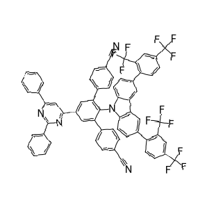 N#Cc1ccc(-c2cc(-c3cc(-c4ccccc4)nc(-c4ccccc4)n3)cc(-c3ccc(C#N)cc3)c2-n2c3ccc(-c4ccc(C(F)(F)F)cc4C(F)(F)F)cc3c3cc(-c4ccc(C(F)(F)F)cc4C(F)(F)F)ccc32)cc1